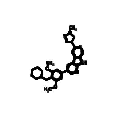 COc1cc(-c2cnc3[nH]c4cnc(C5C=NN(C)C5)cc4c3c2)cc(OC)c1CN1CCCCC1